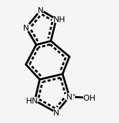 O[n+]1n[nH]c2cc3nn[nH]c3cc21